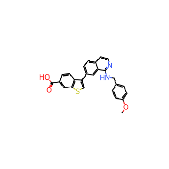 COc1ccc(CNc2nccc3ccc(-c4csc5cc(C(=O)O)ccc45)cc23)cc1